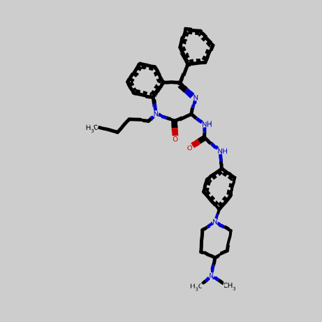 CCCCN1C(=O)C(NC(=O)Nc2ccc(N3CCC(N(C)C)CC3)cc2)N=C(c2ccccc2)c2ccccc21